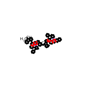 CC1(C)c2ccccc2-c2c(-c3cccc(N(c4cccc(-c5ccccc5)c4-c4ccccc4-c4ccccc4)c4cccc5cc(CC6(C)c7ccccc7-c7c(-c8cccc(N(c9ccc%10ccccc%10c9)c9cccc(-c%10ccccc%10)c9-c9ccccc9-c9ccccc9)c8)cccc76)ccc45)c3)cccc21